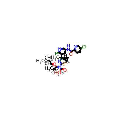 CC(C)(C)C(OCC[Si](C)(C)C)N(C(=O)O)C1=N[C@](C)(c2cc(NC(=O)c3ccc(Cl)cn3)cnc2F)[C@@H]2C[C@]2(CF)S1